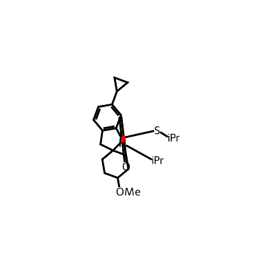 COC1CCC2(CC1)Cc1ccc(C3CC3)cc1C21N=C(SC(C)C)N(C(C)C)C1=O